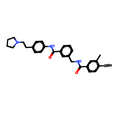 COc1ccc(C(=O)NCc2cccc(C(=O)Nc3ccc(CCN4CCCC4)cc3)c2)cc1C